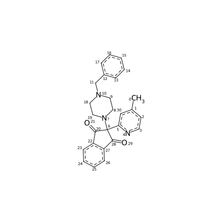 Cc1ccnc(C2(N3CCN(Cc4ccccc4)CC3)C(=O)c3ccccc3C2=O)c1